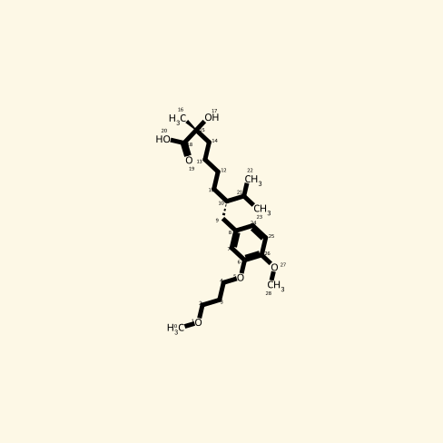 COCCCOc1cc(C[C@H](CCCC[C@@](C)(O)C(=O)O)C(C)C)ccc1OC